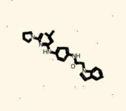 C=C(/N=C(\C=C(C)C)Nc1ccc(NC(=O)Cn2ccc3ccccc32)cc1)N1CCCC1